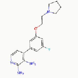 Nc1nccc(-c2cc(F)cc(OCCN3CCCC3)c2)c1N